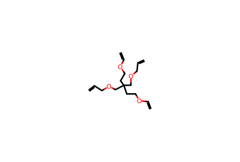 C=CCOCC(CCOC=C)(CCOC=C)COCC=C